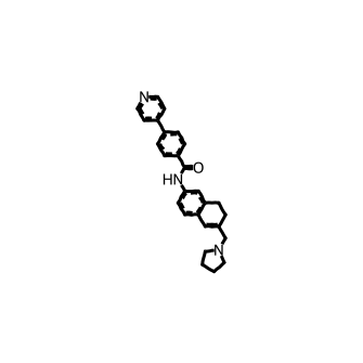 O=C(Nc1ccc2c(c1)CCC(CN1CCCC1)=C2)c1ccc(-c2ccncc2)cc1